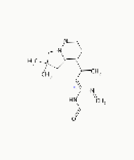 C=N/C(=C\C(=C)C1=C2CC(C)(C)CN2N=CC1)NC=O